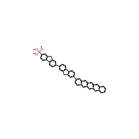 CO[Si](OC)(OC)c1ccc2c(c1)Cc1cc(-c3ccc4c(c3)Cc3cc(-c5ccc6cc7cc8cc9ccccc9cc8cc7cc6c5)ccc3-4)ccc1-2